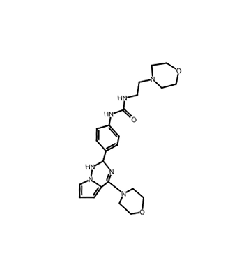 O=C(NCCN1CCOCC1)Nc1ccc(C2N=C(N3CCOCC3)c3cccn3N2)cc1